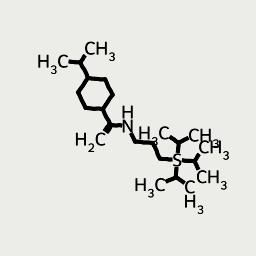 C=C(NCCCS(C(C)C)(C(C)C)C(C)C)C1CCC(C(C)C)CC1